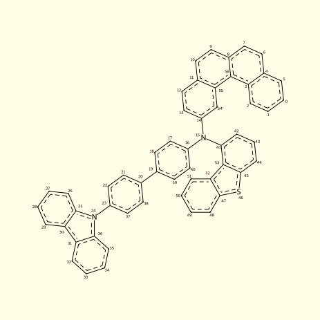 c1ccc2c(c1)ccc1ccc3ccc(N(c4ccc(-c5ccc(-n6c7ccccc7c7ccccc76)cc5)cc4)c4cccc5sc6ccccc6c45)cc3c12